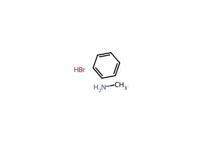 Br.CN.c1ccccc1